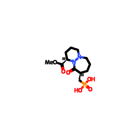 COC(=O)[C@@H]1CCCN2CCC[C@H](CP(=O)(O)O)C(=O)N12